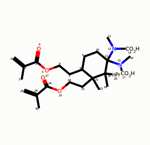 C=C(C)C(=O)OCCC1CCC(N(C)C(=O)O)(N(C)C(=O)O)C(C)(CCC)C1(C)CCOC(=O)C(=C)C